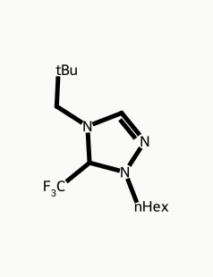 CCCCCCN1N=CN(CC(C)(C)C)C1C(F)(F)F